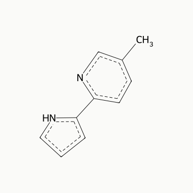 Cc1ccc(-c2ccc[nH]2)nc1